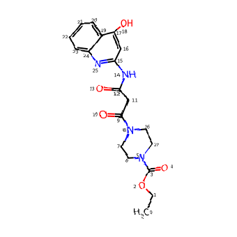 CCOC(=O)N1CCN(C(=O)CC(=O)Nc2cc(O)c3ccccc3n2)CC1